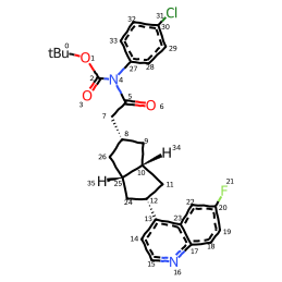 CC(C)(C)OC(=O)N(C(=O)C[C@@H]1C[C@@H]2C[C@H](c3ccnc4ccc(F)cc34)C[C@@H]2C1)c1ccc(Cl)cc1